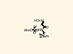 CCCCCCCCC=CC(=O)NC[N+](C)(C)CCC.COS(=O)(=O)[O-]